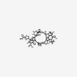 C=CC(=O)N1CC[C@H](C(=O)N(C)C(C(=O)N[C@H]2Cc3nc(cs3)N3CCc4c(c(c(-c5cnn(C)c5[C@H](C)OC)n4CC(F)(F)F)CC(C)(C)COC(=O)[C@@H]4CCCN(N4)C2=O)C3)C(C)C)C1